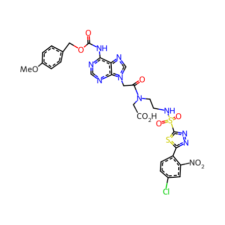 COc1ccc(COC(=O)Nc2ncnc3c2ncn3CC(=O)N(CCNS(=O)(=O)c2nnc(-c3ccc(Cl)cc3[N+](=O)[O-])s2)CC(=O)O)cc1